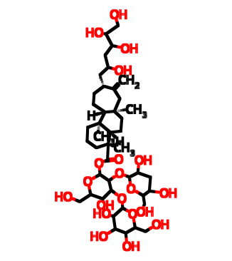 C=C1C[C@@]2(C)CC[C@H]3[C@@](C)(CCC[C@@]3(C)C(=O)OC3OC(CO)C(O)C(OC4OC(CO)C(O)C(O)C4O)C3OC3OC(CO)C(O)CC3O)[C@@H]2CC[C@@H]1CC(O)CC(O)C(O)CO